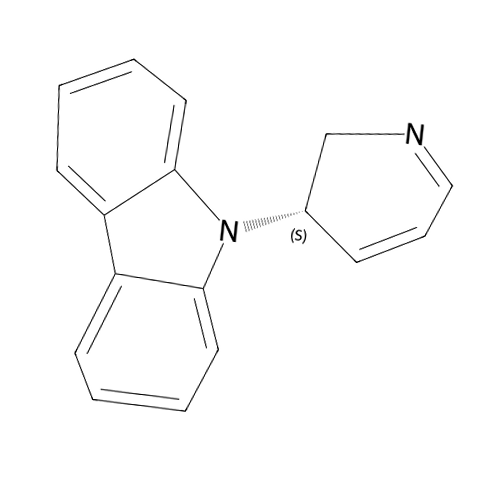 C1=C[C@H](n2c3ccccc3c3ccccc32)CN=C1